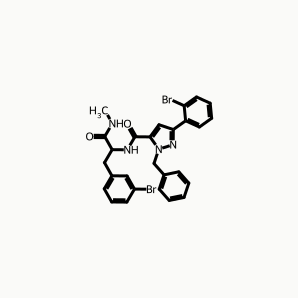 CNC(=O)C(Cc1cccc(Br)c1)NC(=O)c1cc(-c2ccccc2Br)nn1Cc1ccccc1